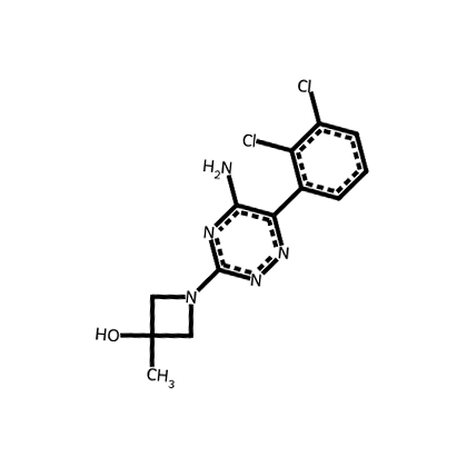 CC1(O)CN(c2nnc(-c3cccc(Cl)c3Cl)c(N)n2)C1